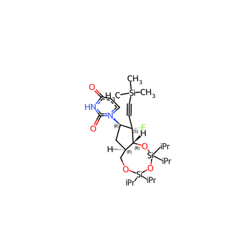 CC(C)[Si]1(C(C)C)OC[C@H]2C[C@@H](n3ccc(=O)[nH]c3=O)[C@@](F)(C#C[Si](C)(C)C)[C@@H]2O[Si](C(C)C)(C(C)C)O1